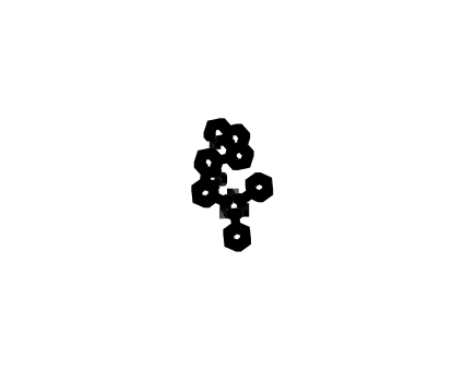 c1ccc(-c2nc(-c3ccccc3)nc(-c3cccc4c3oc3c(-c5cccc6ccc7cccnc7c56)cccc34)n2)cc1